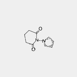 O=C1CCCC(=O)N1n1cccc1